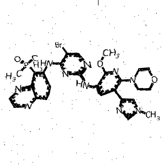 COc1nc(N2CCOCC2)c(-c2cn(C)cn2)cc1Nc1ncc(Br)c(Nc2ccc3nccnc3c2P(C)(C)=O)n1